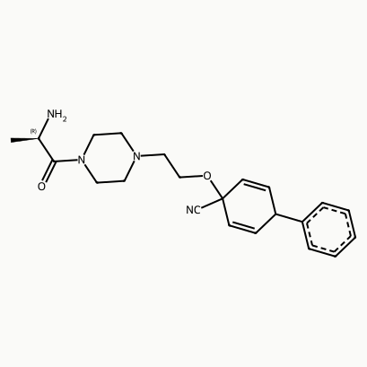 C[C@@H](N)C(=O)N1CCN(CCOC2(C#N)C=CC(c3ccccc3)C=C2)CC1